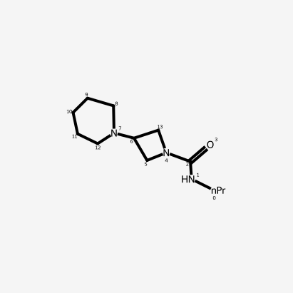 CCCNC(=O)N1CC(N2CCCCC2)C1